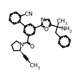 CC#C[C@H]1CCCN1C(=O)c1cc(-c2ncc([C@](C)(N)Cc3ccccc3)o2)cc(-c2ccccc2C#N)c1